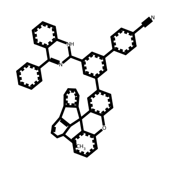 CC1CC=CC2=C1C1(c3ccccc3Oc3ccc(-c4cc(-c5ccc(C#N)cc5)cc(C5N=C(c6ccccc6)c6ccccc6N5)c4)cc31)c1ccccc12